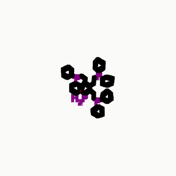 Pc1ccc(CCP(c2ccccc2)c2ccccc2)c(CCP(c2ccccc2)c2ccccc2)c1CCP(c1ccccc1)c1ccccc1